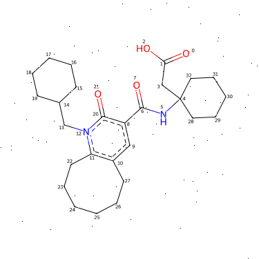 O=C(O)CC1(NC(=O)c2cc3c(n(CC4CCCCC4)c2=O)CCCCCC3)CCCCC1